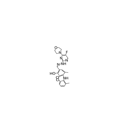 Cc1cccc(Cl)c1Nc1c(C)cc(/C=N\Nc2ncc(F)c(N3CCOCC3)n2)c(O)c1Cl